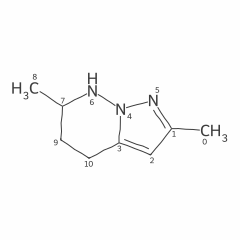 Cc1cc2n(n1)NC(C)CC2